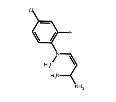 CN(/C=C\C(N)N)c1ccc(Cl)cc1F